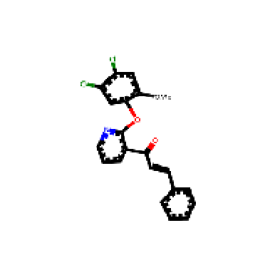 COc1cc(Cl)c(Cl)cc1Oc1ncccc1C(=O)C=Cc1ccccc1